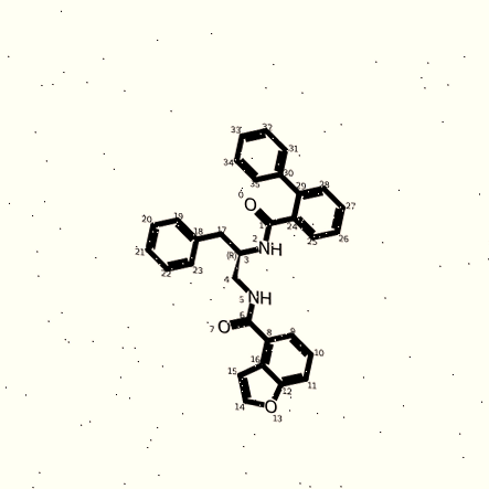 O=C(N[C@@H](CNC(=O)c1cccc2occc12)Cc1ccccc1)c1ccccc1-c1ccccc1